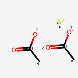 CC(=O)[O-].CC(=O)[O-].[S+2]